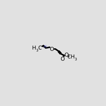 C/C=C/COCC#CC(=O)OC